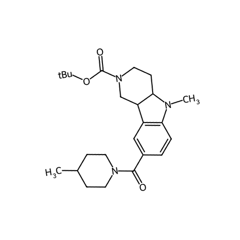 CC1CCN(C(=O)c2ccc3c(c2)C2CN(C(=O)OC(C)(C)C)CCC2N3C)CC1